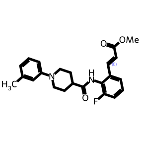 COC(=O)/C=C/c1cccc(F)c1NC(=O)C1CCN(c2cccc(C)c2)CC1